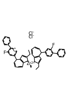 [CH2]=[Zr+2]([CH]1C(CC)=CC2=C1C=CC=CC2c1ccc(-c2ccccc2)c(F)c1)[CH]1C(CC)=CC2=C1C=CC=CC2c1ccc(-c2ccccc2)c(F)c1.[Cl-].[Cl-]